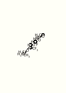 CC1(CNC(=O)Nc2cc(F)c(Oc3ccnc4c3c(C(F)(F)F)cn4COCC[Si](C)(C)C)c(F)c2)CCCO1